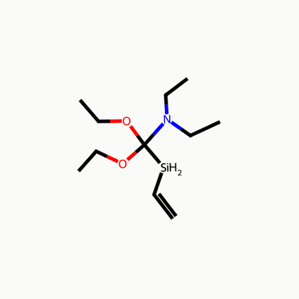 C=C[SiH2]C(OCC)(OCC)N(CC)CC